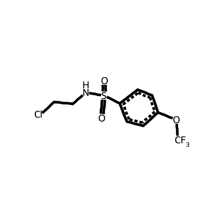 O=S(=O)(NCCCl)c1ccc(OC(F)(F)F)cc1